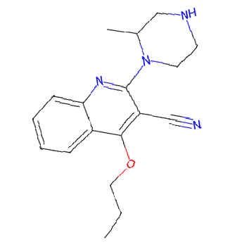 CCCOc1c(C#N)c(N2CCNCC2C)nc2ccccc12